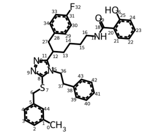 Cc1cccc(CSc2nnc(C(CCCCNC(=O)c3ccccc3O)Cc3ccc(F)cc3)n2CCc2ccccc2)c1